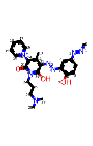 CN=Nc1ccc(O)c(N=Nc2c(C)c(-[n+]3ccccc3)c(=O)n(CCCN(C)C)c2O)c1